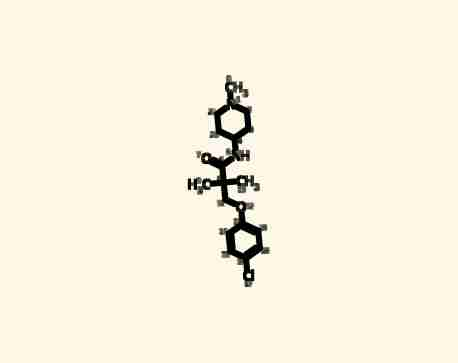 CN1CCC(NC(=O)C(C)(C)COc2ccc(Cl)cc2)CC1